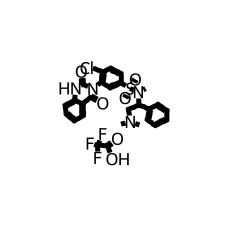 CN(C)CC(c1ccccc1)N(C)S(=O)(=O)c1ccc(Cl)c(-n2c(=O)[nH]c3ccccc3c2=O)c1.O=C(O)C(F)(F)F